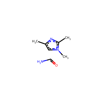 Cc1cn(C)c(C)n1.NC=O